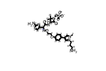 C[n+]1cc(-c2ccc(OCCO/N=C(\C(=O)N[C@@H]3C(=O)N(OS(=O)(=O)[O-])C3(C)C)c3csc(N)n3)cc2)cn1CCCN